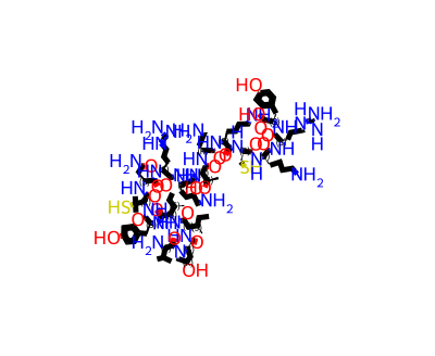 CC[C@H](C)[C@H](NC(=O)[C@@H](NC(=O)[C@@H]1C[C@@H](O)CN1C(=O)[C@@H](N)C(C)C)[C@@H](C)CC)C(=O)N[C@@H](Cc1ccc(O)cc1)C(=O)N[C@H](C(=O)N[C@@H](CC(N)=O)C(=O)N[C@@H](CCCNC(=N)N)C(=O)N[C@@H](CCCCN)C(=O)N[C@H](C(=O)N[C@H](CCN)C(=O)N[C@@H](CCCCN)C(=O)N[C@@H](CS)C(=O)N[C@@H](CCCCN)C(=O)N[C@@H](CCCNC(=N)N)C(=O)N[C@@H](Cc1ccc(O)cc1)C(=O)O)[C@@H](C)O)C(C)(C)S